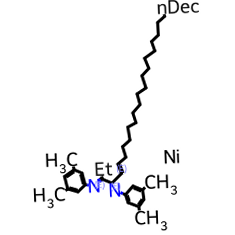 CCCCCCCCCCCCCCCCCCCCCCCCCCC/C=C/C(=N\c1cc(C)cc(C)c1)C(/CC)=N/c1cc(C)cc(C)c1.[Ni]